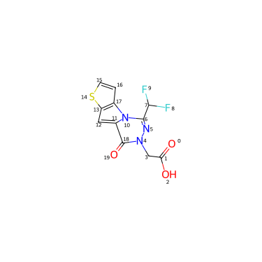 O=C(O)Cn1nc(C(F)F)n2c(cc3sccc32)c1=O